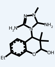 CCc1ccc2c(c1)OC(O)C(C)(C)C2N1C(N)=NN(C)C1N